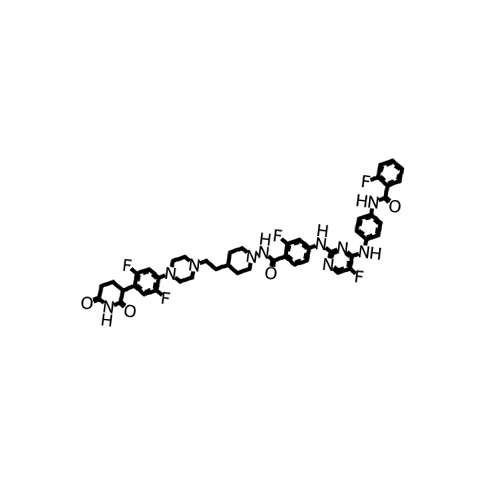 O=C1CCC(c2cc(F)c(N3CCN(CCC4CCN(NC(=O)c5ccc(Nc6ncc(F)c(Nc7ccc(NC(=O)c8ccccc8F)cc7)n6)cc5F)CC4)CC3)cc2F)C(=O)N1